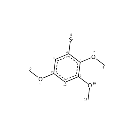 COc1cc([S])c(OC)c(OC)c1